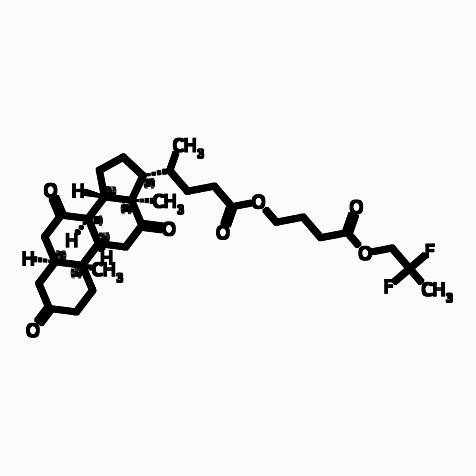 CC(CCC(=O)OCCCC(=O)OCC(C)(F)F)[C@H]1CC[C@H]2[C@@H]3C(=O)C[C@@H]4CC(=O)CC[C@]4(C)[C@H]3CC(=O)[C@]12C